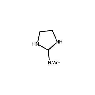 C[N]C1NCCN1